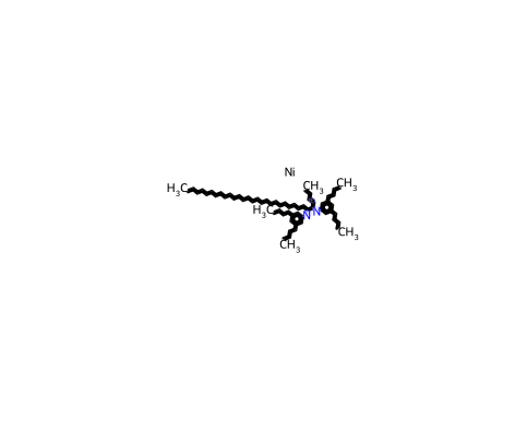 CCC/C=C/C(=N\c1cc(CCCCC)cc(CCCCC)c1)C(/CCCCCCCCCCCCCCCCCCCCCCCCCCC)=N/c1cc(CCCCC)cc(CCCCC)c1.[Ni]